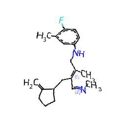 C=C1CCCC1CC(/C=N\C)=C(/C)CNc1ccc(F)c(C)c1